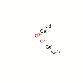 [Cd].[Ga].[Ge].[O-2].[O-2].[Sn+4]